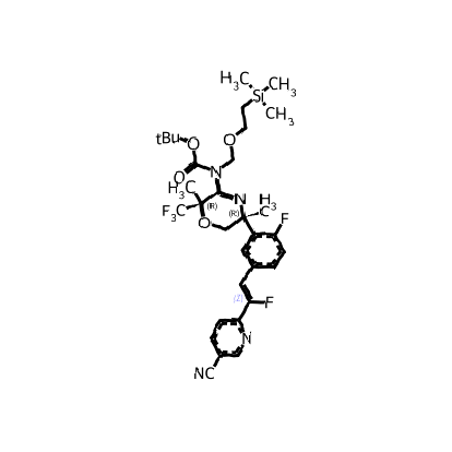 CC(C)(C)OC(=O)N(COCC[Si](C)(C)C)C1=N[C@](C)(c2cc(/C=C(\F)c3ccc(C#N)cn3)ccc2F)CO[C@@]1(C)C(F)(F)F